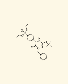 CCOP(=O)(OCC)c1ccc(C(NC(=O)OC(C)(C)C)C(=O)OCc2ccccc2)cc1